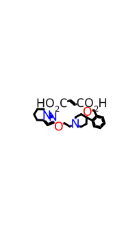 O=C(O)C=CC(=O)O.c1ccc2c(c1)COC21CCN(CCOc2cc3n(n2)CCCC3)CC1